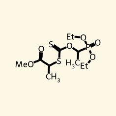 CCOP(=O)(OCC)C(C)OC(=S)SC(C)C(=O)OC